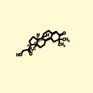 CC1(C)CC2=C3CC[C@]4(C)[C@@H](C(=O)CO)CC[C@H]4[C@@H]3CCC2=CC1=O